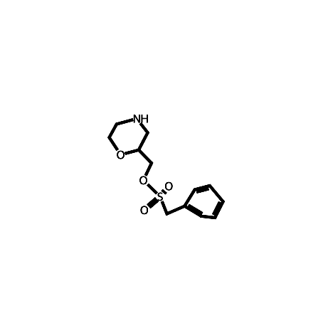 O=S(=O)(Cc1ccccc1)OCC1CNCCO1